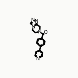 O=C(c1ccc(-c2ccncc2)cc1)N1CCn2cnnc2C1